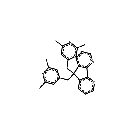 Cc1cc(CC2(Cc3cc(C)nc(C)c3)c3cccnc3-c3ncccc32)cc(C)n1